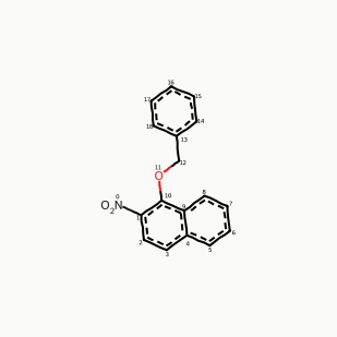 O=[N+]([O-])c1ccc2ccccc2c1OCc1ccccc1